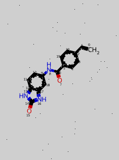 C=Cc1ccc(C(=O)Nc2ccc3[nH]c(=O)[nH]c3c2)cc1